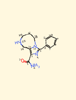 NC(=O)c1nc(-c2ccccc2)n2c1CNCCC2